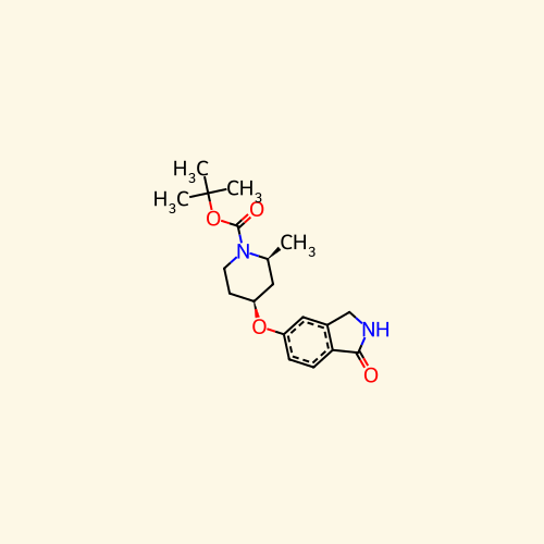 C[C@H]1C[C@@H](Oc2ccc3c(c2)CNC3=O)CCN1C(=O)OC(C)(C)C